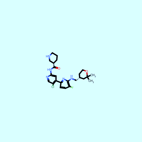 CC1(C)C[C@H](CNc2nc(-c3cc(NC(=O)[C@@H]4CCCNC4)ncc3Cl)ccc2F)CCO1